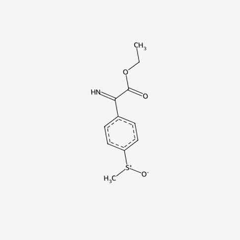 CCOC(=O)C(=N)c1ccc([S+](C)[O-])cc1